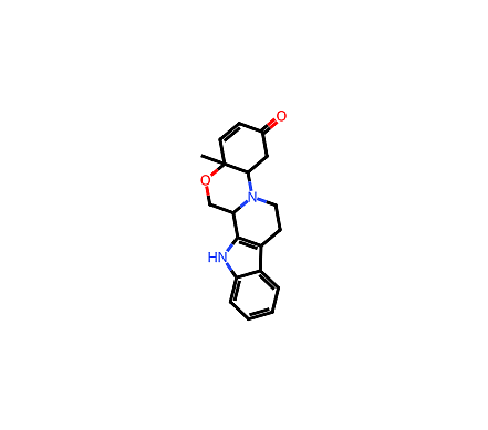 CC12C=CC(=O)CC1N1CCc3c([nH]c4ccccc34)C1CO2